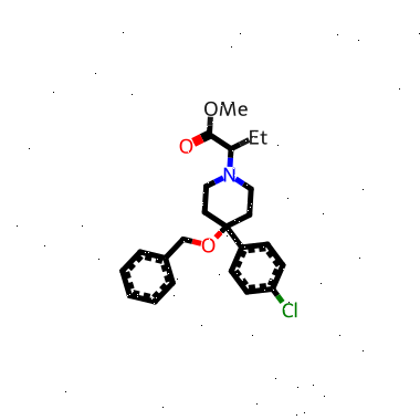 CCC(C(=O)OC)N1CCC(OCc2ccccc2)(c2ccc(Cl)cc2)CC1